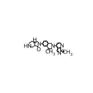 C[C@H]1CN(c2ccnc3c2cnn3C)Cc2ccc(N3C[C@H]4CCNCC4C3=O)cc21